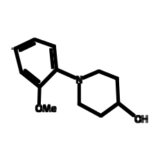 COc1c[c]ccc1N1CCC(O)CC1